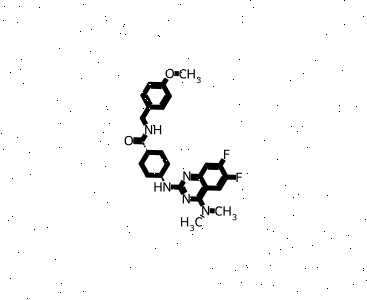 COc1ccc(CNC(=O)[C@H]2CC[C@@H](Nc3nc(N(C)C)c4cc(F)c(F)cc4n3)CC2)cc1